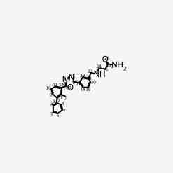 Cc1c(-c2ccccc2)cccc1-c1nnc(-c2cccc(CNCCC(N)=O)c2)o1